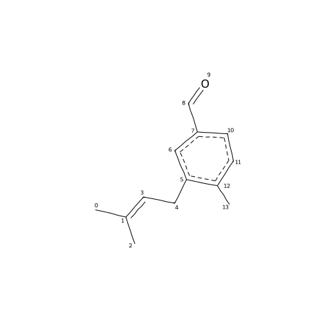 CC(C)=CCc1cc(C=O)ccc1C